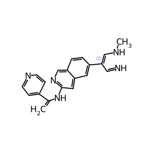 C=C(Nc1cc2cc(/C(C=N)=C/NC)ccc2cn1)c1ccncc1